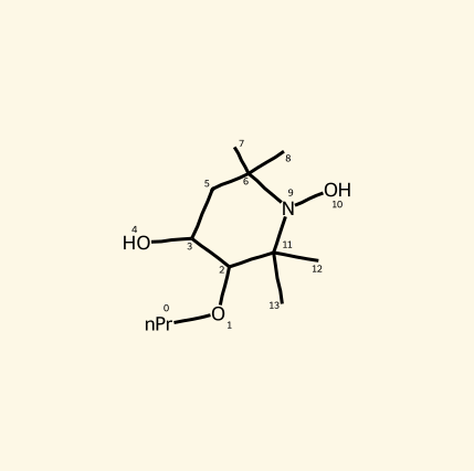 CCCOC1C(O)CC(C)(C)N(O)C1(C)C